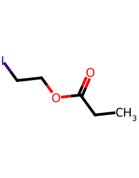 CCC(=O)OCCI